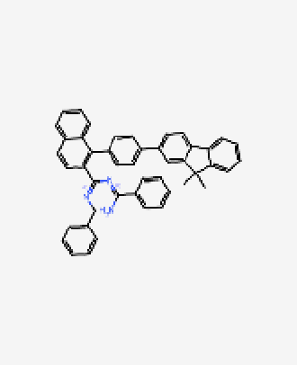 CC1(C)c2ccccc2-c2ccc(-c3ccc(-c4c(C(/N=C(\N)c5ccccc5)=N/Cc5ccccc5)ccc5ccccc45)cc3)cc21